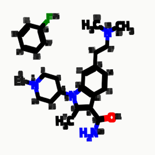 CCN1CCC(n2c(C)c(C(N)=O)c3ccc(CCN(C)C)cc32)CC1.Fc1ccccc1